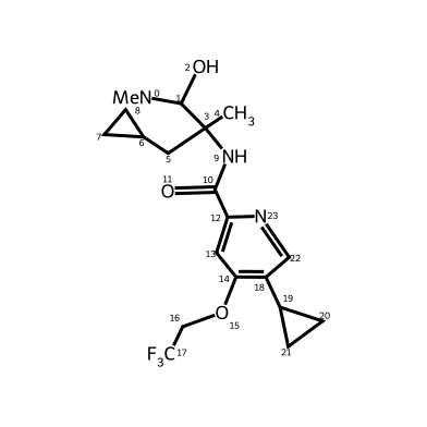 CNC(O)C(C)(CC1CC1)NC(=O)c1cc(OCC(F)(F)F)c(C2CC2)cn1